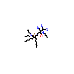 CCCCCCc1c(/C=C/C2=C(C#N)C(=C(C#N)C#N)N(CCCC)C2=O)sc(N(CCCC)CCCC)c1CCCCCC